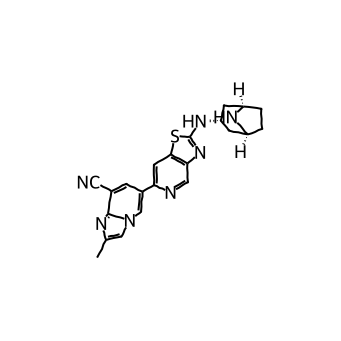 Cc1cn2cc(-c3cc4sc(N[C@@H]5C[C@H]6CC[C@@H](C5)N6)nc4cn3)cc(C#N)c2n1